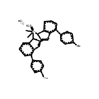 CC1=Cc2c(-c3ccc(C(C)(C)C)cc3)cccc2[CH]1[Zr]([CH3])([CH3])(=[SiH2])[CH]1C(C(C)C)=Cc2c(-c3ccc(C(C)(C)C)cc3)cccc21.Cl.Cl